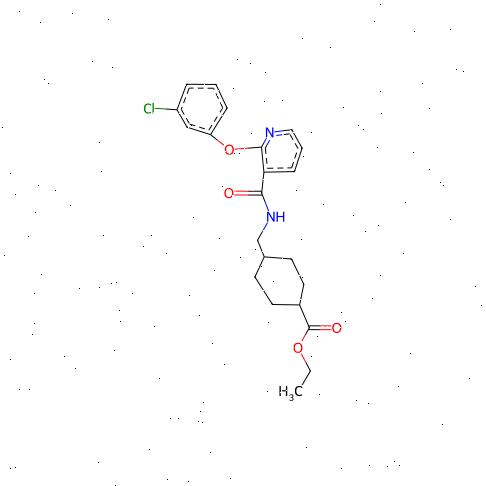 CCOC(=O)C1CCC(CNC(=O)c2cccnc2Oc2cccc(Cl)c2)CC1